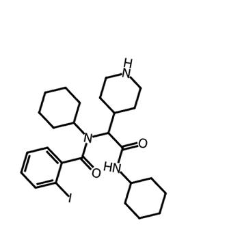 O=C(NC1CCCCC1)C(C1CCNCC1)N(C(=O)c1ccccc1I)C1CCCCC1